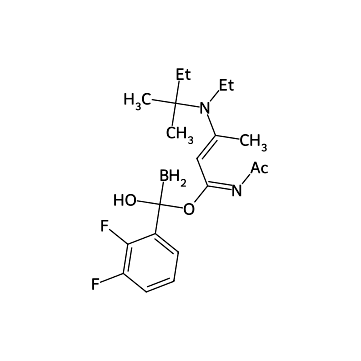 BC(O)(OC(/C=C(\C)N(CC)C(C)(C)CC)=N/C(C)=O)c1cccc(F)c1F